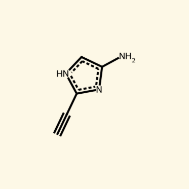 C#Cc1nc(N)c[nH]1